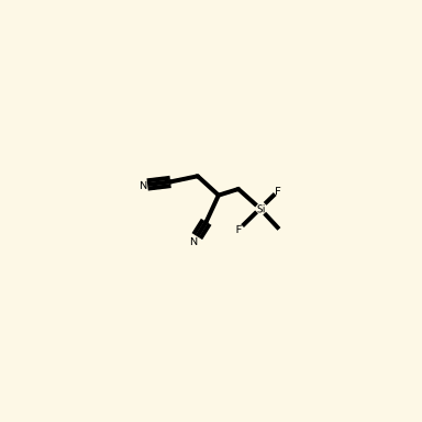 C[Si](F)(F)CC(C#N)CC#N